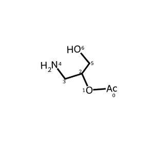 CC(=O)OC(CN)CO